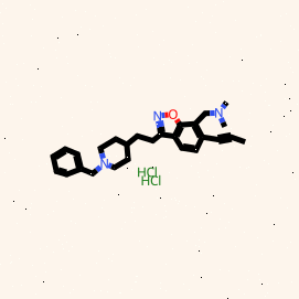 CC#Cc1ccc2c(CCC3CCN(Cc4ccccc4)CC3)noc2c1CN(C)C.Cl.Cl